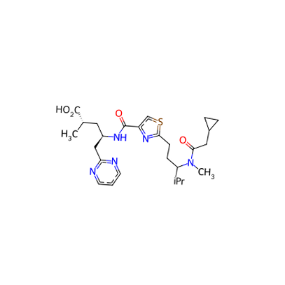 CC(C)C(CCc1nc(C(=O)N[C@@H](Cc2ncccn2)C[C@H](C)C(=O)O)cs1)N(C)C(=O)CC1CC1